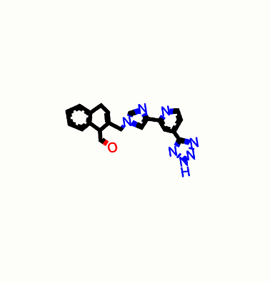 O=CC1C(Cn2cnc(-c3cc(-c4nn[nH]n4)ccn3)c2)=CCc2ccccc21